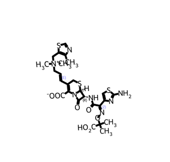 Cc1ncsc1C[N+](C)(C)C/C=C/C1=C(C(=O)[O-])N2C(=O)[C@@H](NC(=O)/C(=N\OC(C)(C)C(=O)O)c3csc(N)n3)[C@@H]2SC1